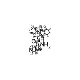 Cc1cccc2nc([C@H](C)NC(=O)c3c(N)nn4ccncc34)n(-c3ccccc3)c(=O)c12